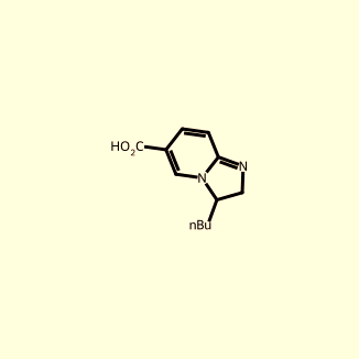 CCCCC1CN=C2C=CC(C(=O)O)=CN21